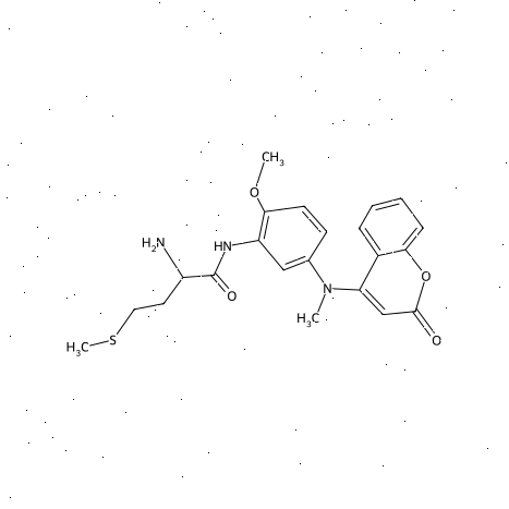 COc1ccc(N(C)c2cc(=O)oc3ccccc23)cc1NC(=O)C(N)CCSC